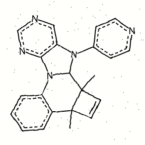 CC12C=CC1(C)C1N(c3ccncc3)c3cncnc3N1c1ccccc12